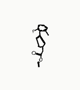 CCOC(=O)CC1C=C(c2c(C)cccc2F)CC1